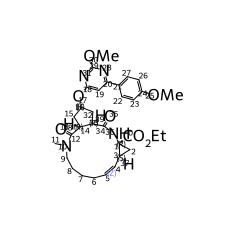 CCOC(=O)[C@@]12C[C@H]1/C=C\CCCCN(C)C(=O)[C@@H]1C[C@H](Oc3cc(-c4ccc(OC)cc4)nc(OC)n3)C[C@H]1C(=O)N2